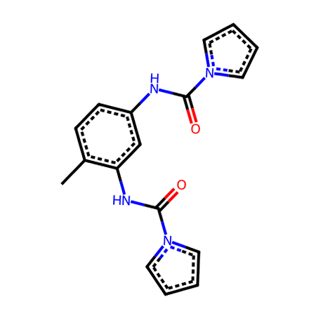 Cc1ccc(NC(=O)n2cccc2)cc1NC(=O)n1cccc1